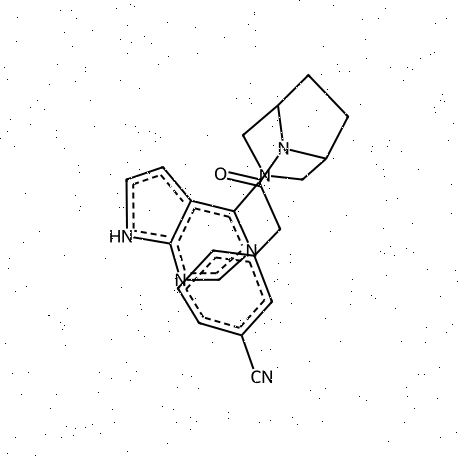 N#Cc1cccc(CC(=O)N2C3CCC2CN(c2ncnc4[nH]ccc24)C3)c1